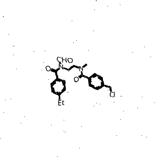 CCc1ccc(C(=O)N(C=O)CCN(C)C(=O)c2ccc(CCl)cc2)cc1